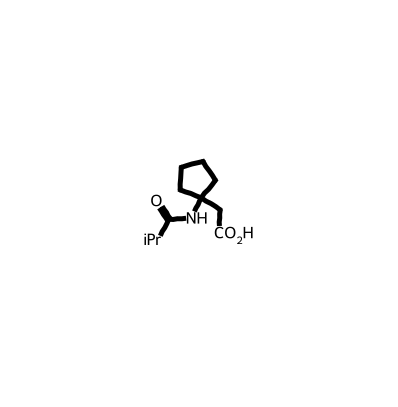 CC(C)C(=O)NC1(CC(=O)O)CCCC1